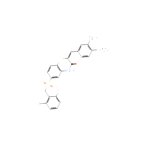 COc1ccc(/C=C2/Sc3ccc(S(=O)(=O)Cc4c(Cl)cccc4Cl)cc3NC2=O)cc1[N+](=O)[O-]